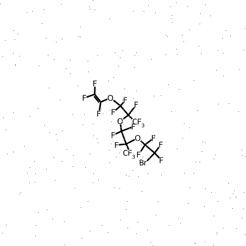 FC(F)=C(F)OC(F)(F)C(F)(OC(F)(F)C(F)(OC(F)(F)C(F)(F)Br)C(F)(F)F)C(F)(F)F